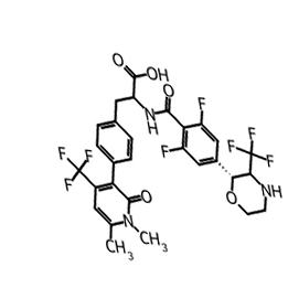 Cc1cc(C(F)(F)F)c(-c2ccc(CC(NC(=O)c3c(F)cc([C@H]4OCCNC4C(F)(F)F)cc3F)C(=O)O)cc2)c(=O)n1C